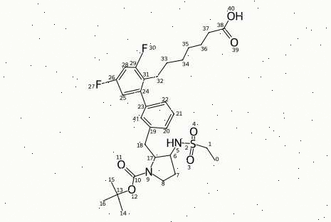 CCS(=O)(=O)NC1CCN(C(=O)OC(C)(C)C)C1Cc1cccc(-c2cc(F)cc(F)c2CCCCCCC(=O)O)c1